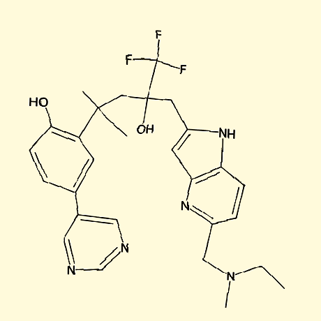 CCN(C)Cc1ccc2[nH]c(CC(O)(CC(C)(C)c3cc(-c4cncnc4)ccc3O)C(F)(F)F)cc2n1